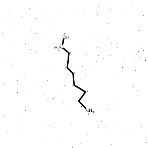 CCCCCCC[SiH2]O